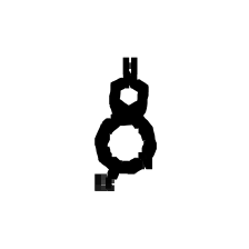 CCc1cccc2c(ccnc1)C1CNCC2C1